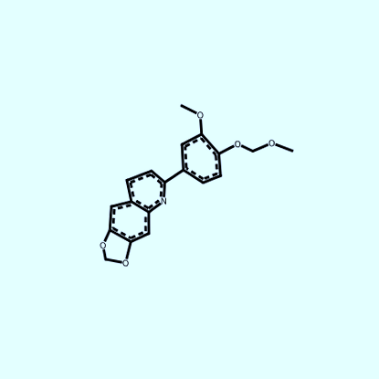 COCOc1ccc(-c2ccc3cc4c(cc3n2)OCO4)cc1OC